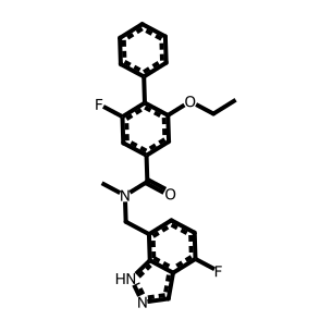 CCOc1cc(C(=O)N(C)Cc2ccc(F)c3cn[nH]c23)cc(F)c1-c1ccccc1